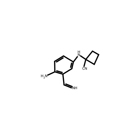 N#CC1(Nc2ccc(N)c(C=N)c2)CCC1